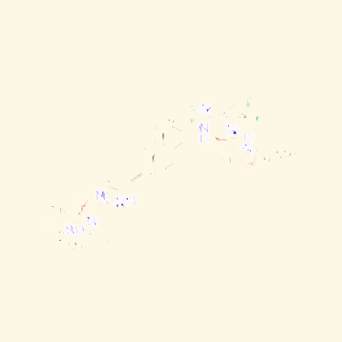 COC(=O)N[C@H](C(=O)N1CCC[C@H]1c1ncc(C#Cc2ccc3cc(-c4cnc([C@@H]5CC(F)(F)CN5C(=O)[C@@H](NC(=O)OC)C(C)C)[nH]4)ccc3c2)[nH]1)C(C)C